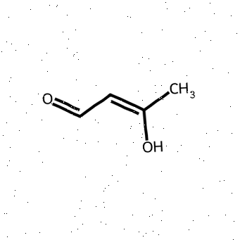 CC(O)=CC=O